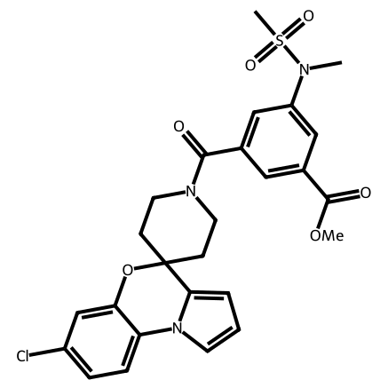 COC(=O)c1cc(C(=O)N2CCC3(CC2)Oc2cc(Cl)ccc2-n2cccc23)cc(N(C)S(C)(=O)=O)c1